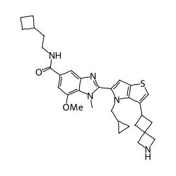 COc1cc(C(=O)NCCC2CCC2)cc2nc(-c3cc4scc(C5CC6(CNC6)C5)c4n3CC3CC3)n(C)c12